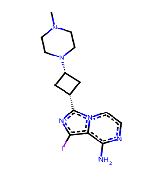 CN1CCN([C@H]2C[C@@H](c3nc(I)c4c(N)nccn43)C2)CC1